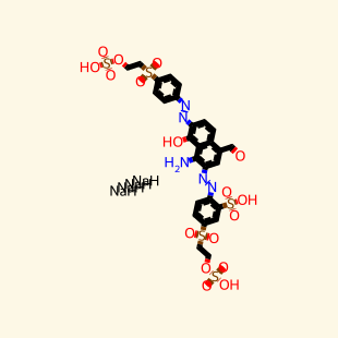 Nc1c(N=Nc2ccc(S(=O)(=O)CCOS(=O)(=O)O)cc2S(=O)(=O)O)cc(C=O)c2ccc(N=Nc3ccc(S(=O)(=O)CCOS(=O)(=O)O)cc3)c(O)c12.[NaH].[NaH].[NaH].[NaH]